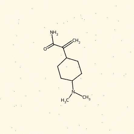 C=C(C(N)=O)C1CCC(N(C)C)CC1